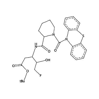 CC(C)(C)OC(=O)CC(NC(=O)C1CCCCN1C(=O)N1c2ccccc2Sc2ccccc21)C(O)CF